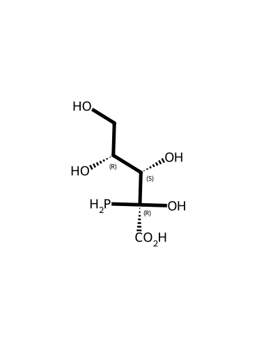 O=C(O)[C@](O)(P)[C@@H](O)[C@H](O)CO